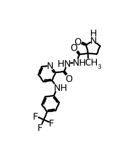 CC1(C(=O)NNC(=O)c2ncccc2Nc2ccc(C(F)(F)F)cc2)CCNC1=O